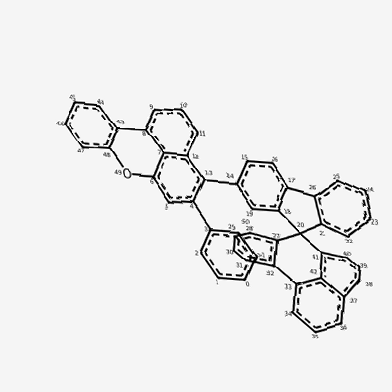 c1ccc(-c2cc3c4c(cccc4c2-c2ccc4c(c2)C2(c5ccccc5-4)c4ccccc4-c4cccc5cccc2c45)-c2ccccc2O3)cc1